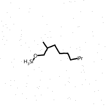 CC(C)CCCCC(C)CO[SiH3]